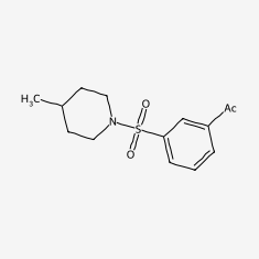 CC(=O)c1cccc(S(=O)(=O)N2CCC(C)CC2)c1